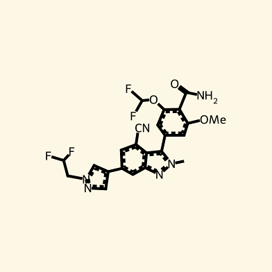 COc1cc(-c2c3c(C#N)cc(-c4cnn(CC(F)F)c4)cc3nn2C)cc(OC(F)F)c1C(N)=O